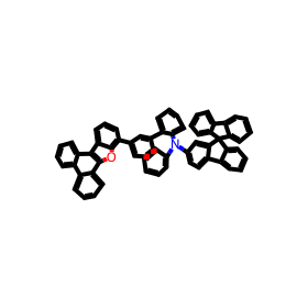 c1ccc(N(c2ccc3c(c2)C2(c4ccccc4-c4ccccc42)c2ccccc2-3)c2ccccc2-c2cccc(-c3cccc4c3oc3c5ccccc5c5ccccc5c43)c2)cc1